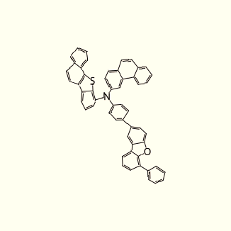 c1ccc(-c2cccc3c2oc2ccc(-c4ccc(N(c5ccc6ccc7ccccc7c6c5)c5cccc6c5sc5c7ccccc7ccc65)cc4)cc23)cc1